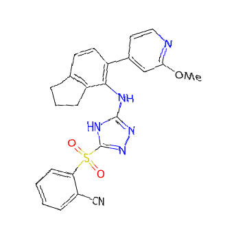 COc1cc(-c2ccc3c(c2Nc2nnc(S(=O)(=O)c4ccccc4C#N)[nH]2)CCC3)ccn1